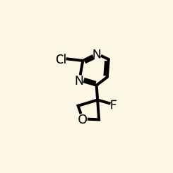 FC1(c2ccnc(Cl)n2)COC1